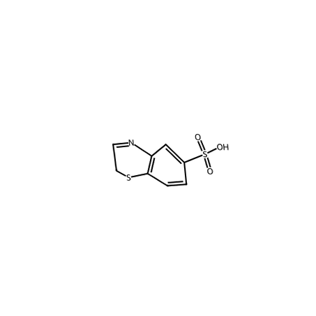 O=S(=O)(O)c1ccc2c(c1)N=CCS2